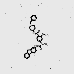 COc1cc(N(C)C(=O)Nc2ccc3c(c2)Cc2ccccc2-3)ccc1C(=O)NC1CCN(Cc2ccccc2)CC1